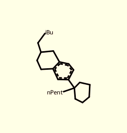 CCCCCC1(c2ccc3c(c2)CCC(CC(C)CC)C3)CCCCC1